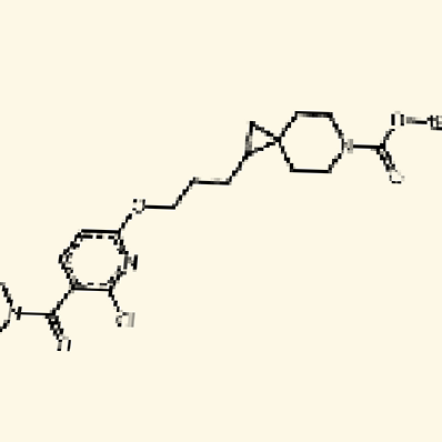 CN(C)C(=O)c1ccc(OCCCC2CC23CCN(C(=O)OC(C)(C)C)CC3)nc1Cl